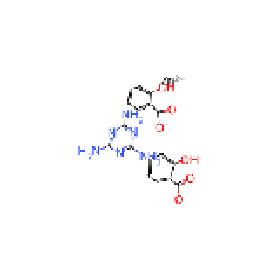 Nc1nc(N)nc(N)n1.O=C([O-])c1ccccc1O.O=C([O-])c1ccccc1O.[Zn+2]